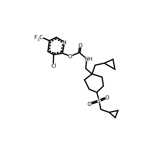 O=C(NCC1(CC2CC2)CCC(S(=O)(=O)CC2CC2)CC1)Oc1ncc(C(F)(F)F)cc1Cl